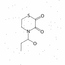 CCC([O])N1CCSC(=O)C1=O